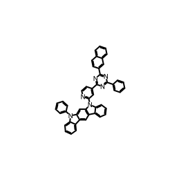 c1ccc(-c2nc(-c3ccnc(-n4c5ccccc5c5cc6c7ccccc7n(-c7ccccc7)c6cc54)c3)nc(-c3ccc4ccccc4c3)n2)cc1